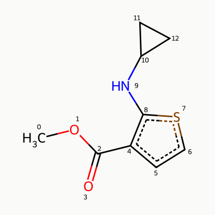 COC(=O)c1ccsc1NC1CC1